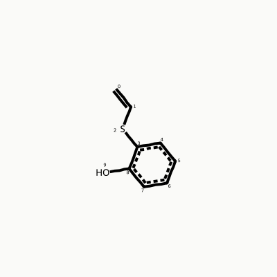 C=[C]Sc1ccccc1O